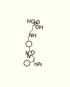 CCCC(=Cc1nnc(-c2ccc(CNCCCP(=O)(O)O)cc2)o1)c1ccccc1